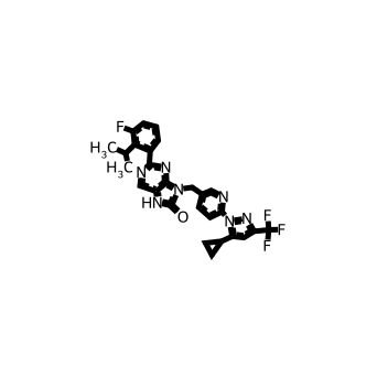 CC(C)c1c(F)cccc1-c1ncc2[nH]c(=O)n(Cc3ccc(-n4nc(C(F)(F)F)cc4C4CC4)nc3)c2n1